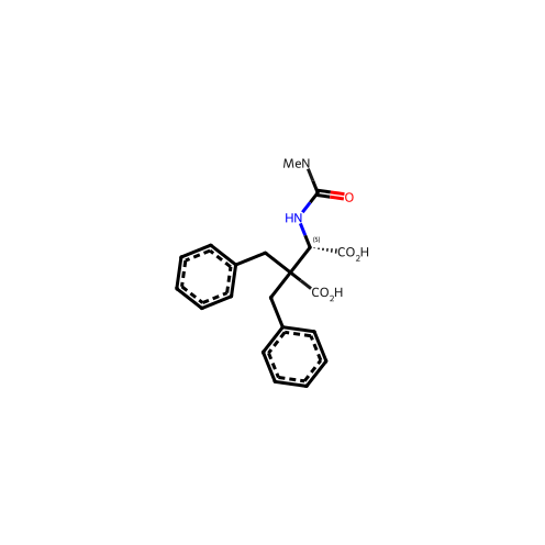 CNC(=O)N[C@H](C(=O)O)C(Cc1ccccc1)(Cc1ccccc1)C(=O)O